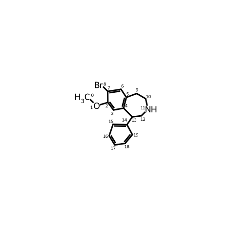 COc1cc2c(cc1Br)CCNCC2c1ccccc1